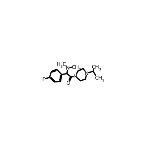 CC(C)N1CCN(C(=O)C(c2ccc(F)cc2)N(C)C)CC1